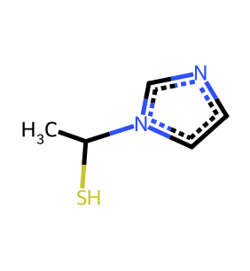 CC(S)n1ccnc1